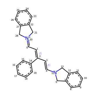 C(/C=C(/C=C/N1Cc2ccccc2C1)c1ccccc1)=[N+]1Cc2ccccc2C1